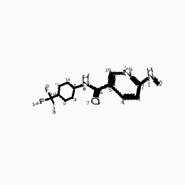 CNc1ccc(C(=O)NC2CCC(C(F)(F)F)CC2)cn1